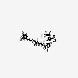 COc1ccc(CCCCOCC(=O)NCCCNC(=O)[C@@H]2C[C@H](SC3=C(C(=O)O)N4C(=O)[C@H]([C@@H](C)O)C4[C@H]3C)CN2)cc1OC